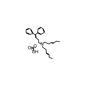 CCC=CCCN(CCC=CCC)CCC=C(c1ccccc1)c1ccccc1.O=[N+]([O-])O